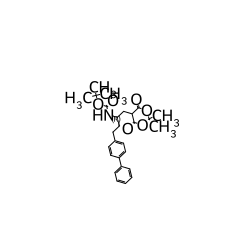 CC(C)(C)OC(=O)N[C@H](CCc1ccc(-c2ccccc2)cc1)CC1C(=O)OC(C)(C)OC1=O